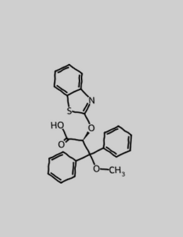 COC(c1ccccc1)(c1ccccc1)[C@H](Oc1nc2ccccc2s1)C(=O)O